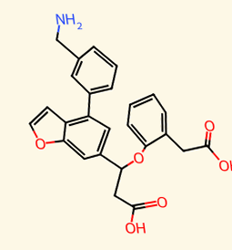 NCc1cccc(-c2cc(C(CC(=O)O)Oc3ccccc3CC(=O)O)cc3occc23)c1